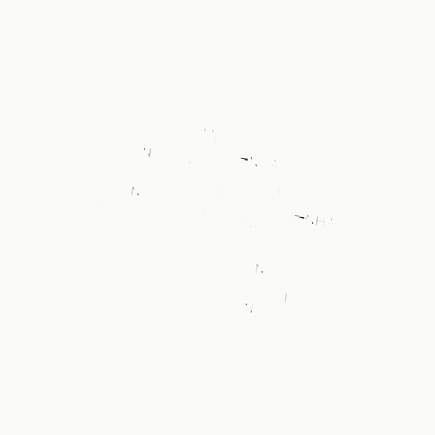 CC(=O)N[C@@H](CSC(CC(=O)CC(SC[C@H](NC(C)=O)C(=O)O)c1nccc(F)n1)c1ccnc(F)n1)C(=O)O